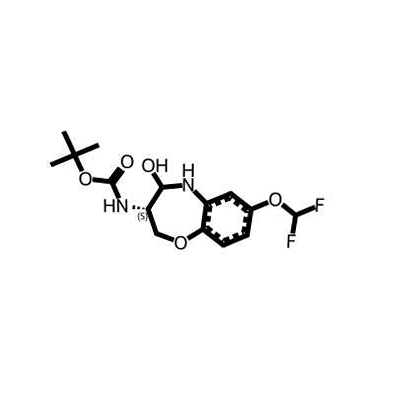 CC(C)(C)OC(=O)N[C@H]1COc2ccc(OC(F)F)cc2NC1O